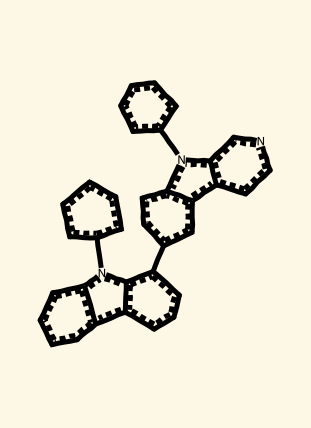 c1ccc(-n2c3ccc(-c4cccc5c6ccccc6n(-c6ccccc6)c45)cc3c3ccncc32)cc1